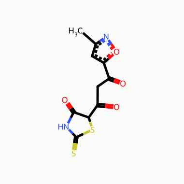 Cc1cc(C(=O)CC(=O)C2SC(=S)NC2=O)on1